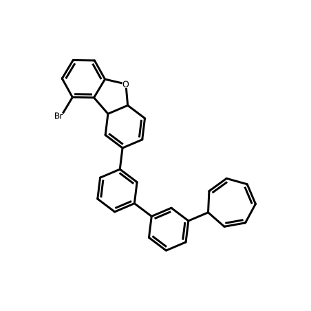 Brc1cccc2c1C1C=C(c3cccc(-c4cccc(C5C=CC=CC=C5)c4)c3)C=CC1O2